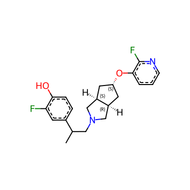 CC(CN1C[C@H]2C[C@H](Oc3cccnc3F)C[C@H]2C1)c1ccc(O)c(F)c1